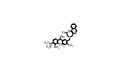 CCC1CN(Cc2cc(C(c3ccc(N(C)N)c(N)c3C)C(C)(C)C)ccc2C)Cc2ncc3ccccc3c2O1